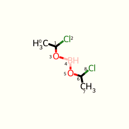 CC(Cl)OBOC(C)Cl